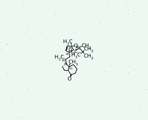 C[C@H](C[C@H]1C=C[C@](C)(O[Si](C)(C)C(C)(C)C)C1)[C@H]1CCC2C(=O)CCC[C@]21C